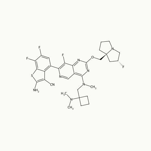 CN(CC1(N(C)C)CCC1)c1nc(OC[C@@]23CCCN2C[C@H](F)C3)nc2c(F)c(-c3cc(F)c(F)c4sc(N)c(C#N)c34)ncc12